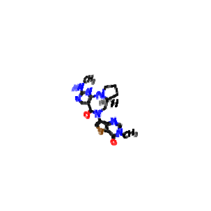 CNc1ncc2c(n1)N1CCC[C@H]1CN(c1csc3c(=O)n(C)cnc13)C2=O